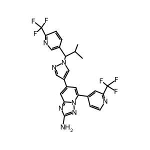 CC(C)C(c1ccc(C(F)(F)F)nc1)n1cc(-c2cc(-c3ccnc(C(F)(F)F)c3)n3nc(N)nc3c2)cn1